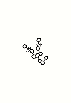 Cn1c(-c2ccccc2)nc2ccc(-c3cccc4c(-c5ccc6cccc(-c7ccccc7)c6c5)c5cccc(-c6ccc7nc(-c8ccccc8)n(C)c7c6)c5cc34)cc21